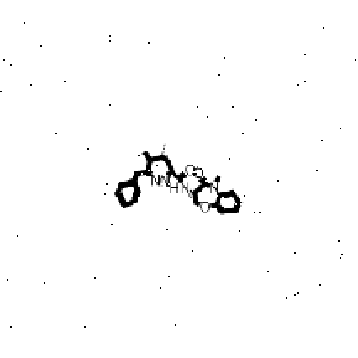 CC1C(Cc2ccccc2)=NN=C(C(=O)N[C@H]2COc3ccccc3N(C)C2=O)C[C@H]1C